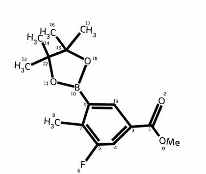 COC(=O)c1cc(F)c(C)c(B2OC(C)(C)C(C)(C)O2)c1